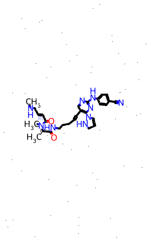 CNC/C=C/C(=O)N(C)[C@@H](C)C(=O)NCCCC#Cc1cnc(Nc2ccc(C#N)cc2)nc1N1C=CCN1